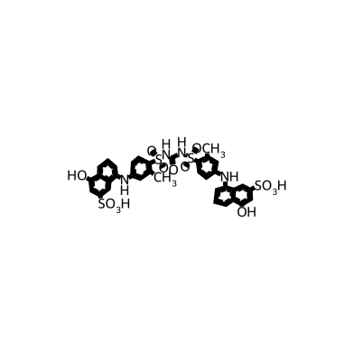 Cc1cc(Nc2cccc3c(O)cc(S(=O)(=O)O)cc23)ccc1S(=O)(=O)NC(=O)NS(=O)(=O)c1ccc(Nc2cccc3c(O)cc(S(=O)(=O)O)cc23)cc1C